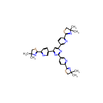 CC1(C)CSC(c2ccc(-c3cc(-c4ccc(C5=NC(C)(C)CS5)nc4)nc(-c4ccc(C5=NC(C)(C)CS5)nc4)n3)cn2)=N1